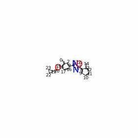 Cc1cc(-c2noc(-c3ccccc3C)n2)ccc1OCC1CC1